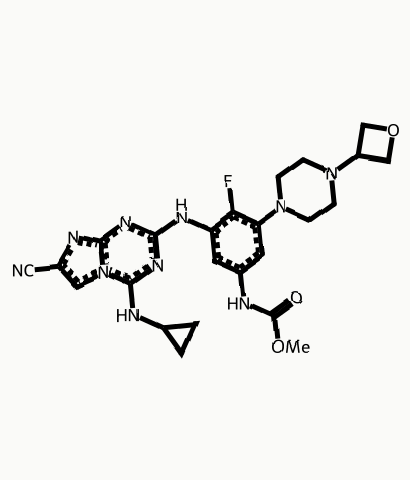 COC(=O)Nc1cc(Nc2nc(NC3CC3)n3cc(C#N)nc3n2)c(F)c(N2CCN(C3COC3)CC2)c1